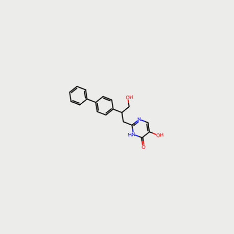 O=c1[nH]c(CC(CO)c2ccc(-c3ccccc3)cc2)ncc1O